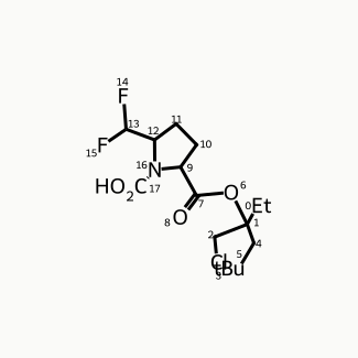 CCC(CCl)(CC(C)(C)C)OC(=O)C1CCC(C(F)F)N1C(=O)O